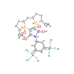 CC1CCC2CC3CCC(C)P3(=O)C3=C(C(=O)N(c4cc(C(F)(F)F)cc(C(F)(F)F)c4)C3=O)P12=O